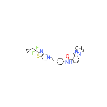 Cn1cc2c(C(=O)N[C@H]3CC[C@H](CCN4CCc5sc(C(F)(F)CC6CC6)nc5C4)CC3)cccc2n1